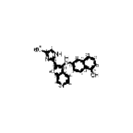 CC(C)(C)c1c[nH]c(-c2oc3cnccc3c2Nc2ccc3c(O)cccc3c2)n1